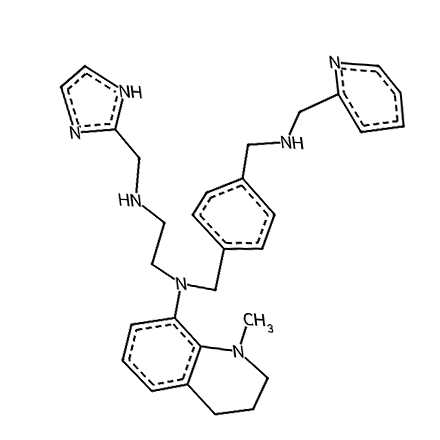 CN1CCCc2cccc(N(CCNCc3ncc[nH]3)Cc3ccc(CNCc4ccccn4)cc3)c21